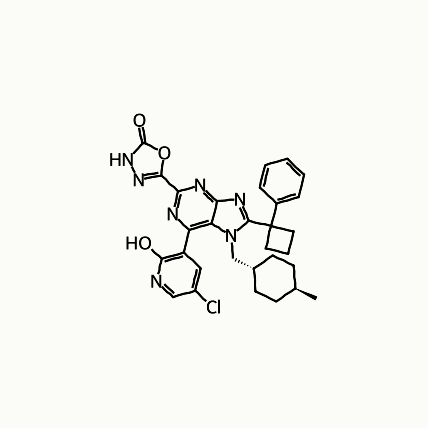 C[C@H]1CC[C@H](Cn2c(C3(c4ccccc4)CCC3)nc3nc(-c4n[nH]c(=O)o4)nc(-c4cc(Cl)cnc4O)c32)CC1